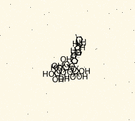 C[C@H]1CC[C@@H]2[C@@H](C)[C@H]3[C@H](C[C@H]4[C@@H]5CC=C6C[C@@H](O[C@@H]7O[C@H](CO)[C@H](O)[C@H](O[C@@H]8O[C@H](CO)[C@@H](O)[C@H](O)[C@H]8O)[C@H]7O[C@H]7O[C@@H](C)[C@H](O)[C@@H](O)[C@H]7O)CC[C@]6(C)[C@H]5CC[C@]34C)N2C1